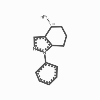 CCC[C@@H]1CCCc2c1cnn2-c1ccccc1